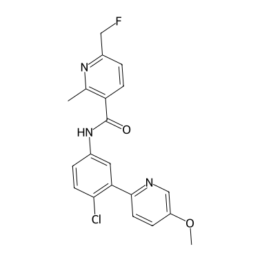 COc1ccc(-c2cc(NC(=O)c3ccc(CF)nc3C)ccc2Cl)nc1